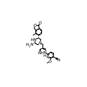 COc1nc(N/C=C(\C=N)CN2C[C@@H](c3ccc4c(c3C)COC4=O)N[C@@H](N)C2)ccc1C#N